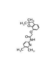 Cc1ccc(NC(=O)COc2cccc3c2OC(C)(C)C3)nc1C